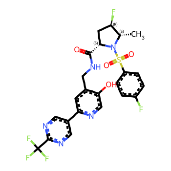 C[C@H]1[C@H](F)C[C@@H](C(=O)NCc2cc(-c3cnc(C(F)(F)F)nc3)ncc2O)N1S(=O)(=O)c1ccc(F)cc1